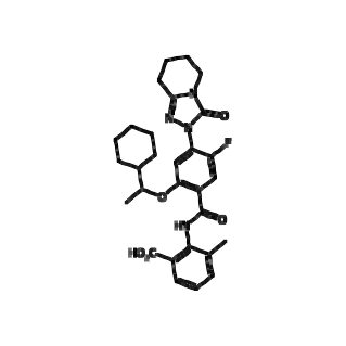 Cc1cccc(C(=O)O)c1NC(=O)c1cc(F)c(-n2nc3n(c2=O)CCCC3)cc1OC(C)C1CCCCC1